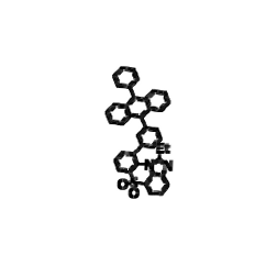 CCc1nc2cccc3c2n1-c1c(-c2cccc(-c4c5ccccc5c(-c5ccccc5)c5ccccc45)c2)cccc1S3(=O)=O